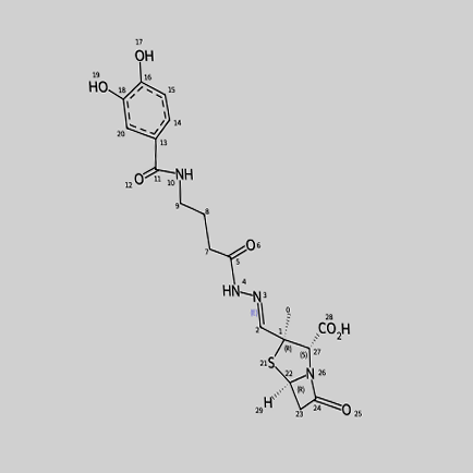 C[C@@]1(/C=N/NC(=O)CCCNC(=O)c2ccc(O)c(O)c2)S[C@@H]2CC(=O)N2[C@H]1C(=O)O